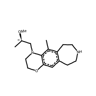 CO[C@H](C)CN1CCOc2cc3c(c(C)c21)CCNCC3